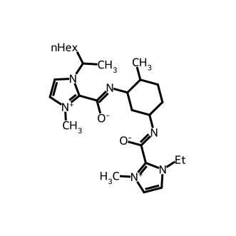 CCCCCCC(C)n1cc[n+](C)c1C([O-])=NC1CC(/N=C(\[O-])c2n(CC)cc[n+]2C)CCC1C